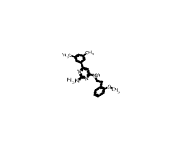 COc1ccccc1CCNc1cc(-c2cc(C)cc(C)c2)nc(N)n1